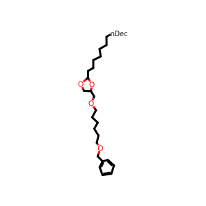 CCCCCCCCCCCCCCCCCC1OCC(COCCCCCCOCc2ccccc2)O1